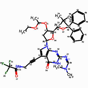 CCOC(C)OC1C[C@H](n2cc(C#CCNC(=O)C(F)(F)F)c3c(=O)[nH]c(/N=C\N(C)C)nc32)O[C@@H]1CO[Si](c1ccccc1)(c1ccccc1)C(C)(C)C